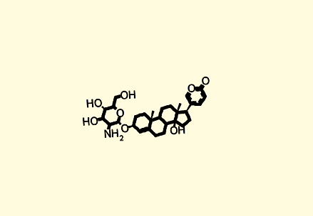 C[C@]12CC[C@H](O[C@@H]3OC(CO)[C@@H](O)C(O)C3N)C=C1CCC1C2CC[C@]2(C)[C@@H](c3ccc(=O)oc3)CC[C@]12O